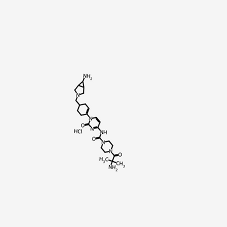 CC(C)(N)C(=O)N1CCN(C(=O)Nc2ccn(C3=CCC(CN4CC5C(N)C5C4)CC3)c(=O)n2)CC1.Cl